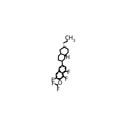 CCC[C@@H]1CC[C@@H]2CC(c3cc(F)c4c(F)c(OC(F)F)c(F)cc4c3)CCC2C1